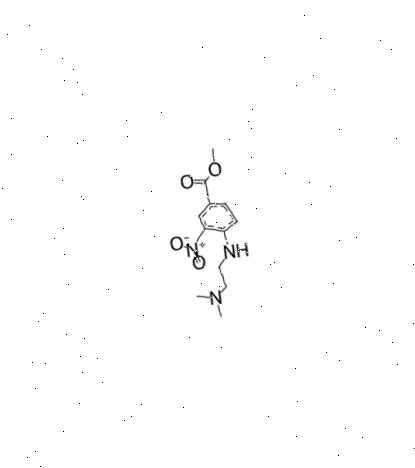 COC(=O)c1ccc(NCCN(C)C)c([N+](=O)[O-])c1